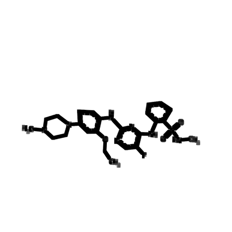 CCOc1cc(N2CCN(C)CC2)ccc1Nc1ncc(F)c(Nc2ccccc2S(=O)(=O)NC)n1